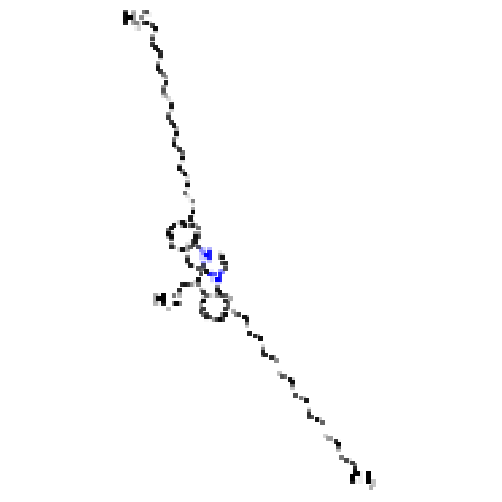 CCCCCCCCCCCCCCCCCCCN1C=CN(CCCCCCCCCCCCCCCCCCC)C1(Cc1ccccc1)C(CC)c1ccccc1